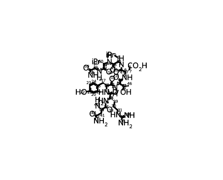 CC(C)C[C@H](NC(=O)[C@H](CC(=O)O)NC(=O)[C@@H](NC(=O)[C@H](Cc1ccc(O)cc1)NC(=O)[C@H](CCCNC(=N)N)NC(=O)[C@@H](N)CC(N)=O)[C@@H](C)O)C(=O)N[C@H](C(=O)N[C@@H](C)C(N)=O)C(C)C